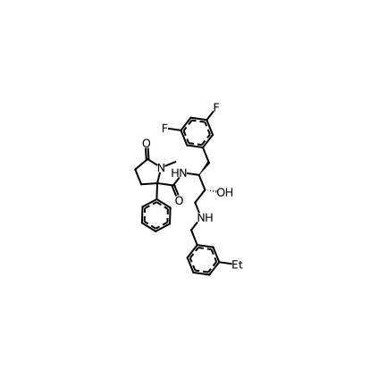 CCc1cccc(CNC[C@@H](O)[C@H](Cc2cc(F)cc(F)c2)NC(=O)C2(c3ccccc3)CCC(=O)N2C)c1